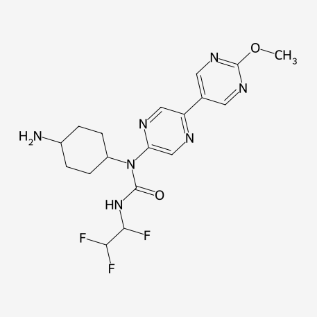 COc1ncc(-c2cnc(N(C(=O)NC(F)C(F)F)C3CCC(N)CC3)cn2)cn1